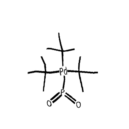 C[C](C)(C)[Pd]([P](=O)=O)([C](C)(C)C)[C](C)(C)C